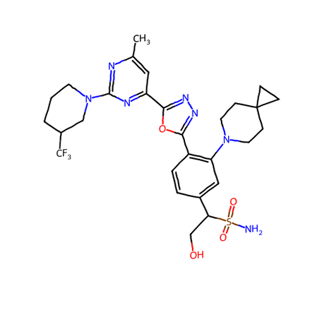 Cc1cc(-c2nnc(-c3ccc(C(CO)S(N)(=O)=O)cc3N3CCC4(CC3)CC4)o2)nc(N2CCCC(C(F)(F)F)C2)n1